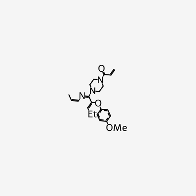 C=CC(=O)N1CCN(C(=N/C=C\C)/C(=C/CC)Oc2ccc(OC)cc2)CC1